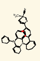 C[C@@]1(C#N)C=NC(c2ccc(C3=C(N4C5=C(C=CCC5)N(C5=CC=CCC5)c5ccccc54)CCC=C3)cc2)=CC1